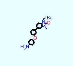 Cn1c(=O)n(CC(C)(C)C)c2ccc(-c3cccc(Oc4ccc(N)cc4)c3)cc21